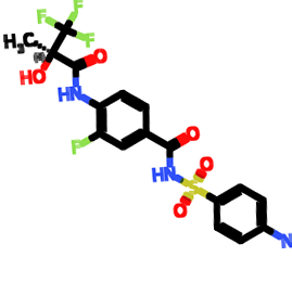 C[C@@](O)(C(=O)Nc1ccc(C(=O)NS(=O)(=O)c2ccc(N)cc2)cc1F)C(F)(F)F